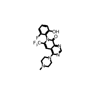 CN1CCN(c2ncnc3c(=O)n(-c4c(O)cccc4F)c(C(F)(F)F)cc23)CC1